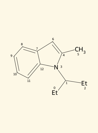 CCC(CC)n1c(C)cc2ccccc21